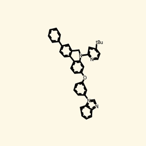 CC(C)(C)c1ccnc(N2Cc3cc(-c4ccccc4)ccc3-c3ccc(Oc4cccc(-n5cnc6ccccc65)c4)cc32)c1